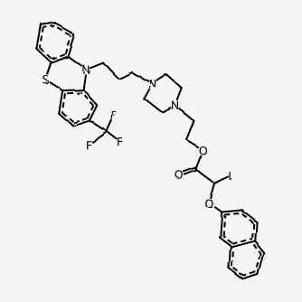 O=C(OCCN1CCN(CCCN2c3ccccc3Sc3ccc(C(F)(F)F)cc32)CC1)C(I)Oc1ccc2ccccc2c1